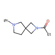 CCC(=O)N1CC2(CCN(C(C)C)C2)C1